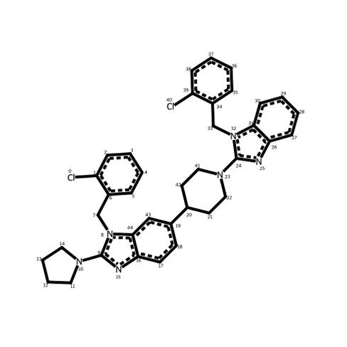 Clc1ccccc1Cn1c(N2CCCC2)nc2ccc(C3CCN(c4nc5ccccc5n4Cc4ccccc4Cl)CC3)cc21